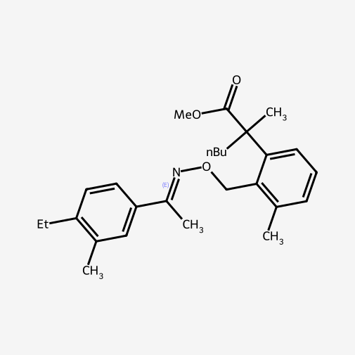 CCCCC(C)(C(=O)OC)c1cccc(C)c1CO/N=C(\C)c1ccc(CC)c(C)c1